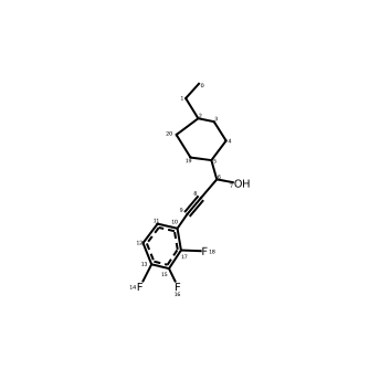 CCC1CCC(C(O)C#Cc2ccc(F)c(F)c2F)CC1